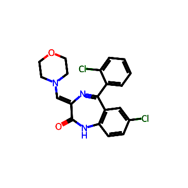 O=C1Nc2ccc(Cl)cc2C(c2ccccc2Cl)=NC1=CN1CCOCC1